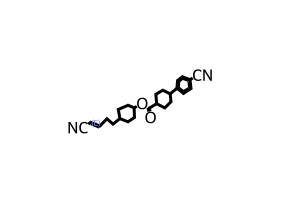 N#C/C=C/CCC1CCC(OC(=O)C2CCC(c3ccc(C#N)cc3)CC2)CC1